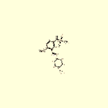 COc1ccc(NS(C)(=O)=O)cc1/C=C/[C@H]1CC[C@@H](C)CC1